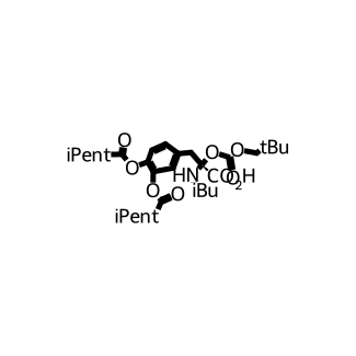 CCCC(C)C(=O)Oc1ccc(C[C@](NC(C)CC)(OC(=O)OCC(C)(C)C)C(=O)O)cc1OC(=O)C(C)CCC